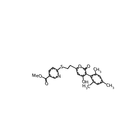 COC(=O)c1ccc(SCCc2cc(O)c(-c3c(C)cc(C)cc3C)c(=O)o2)nc1